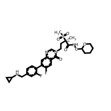 C[C@@](CCn1cnc2cc(-c3ccc(CNC4CC4)cc3F)c(F)cc2c1=O)(C(=O)NOC1CCCCO1)S(C)(=O)=O